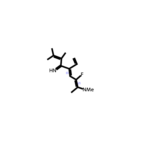 C=C/C(=C\C(F)=C(/C)NC)C(=N)C(C)=C(C)C